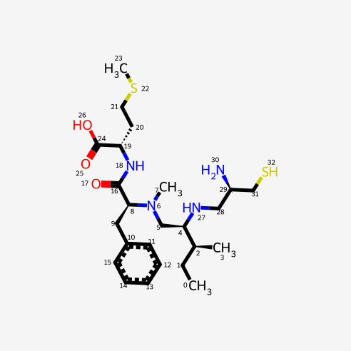 CC[C@H](C)[C@@H](CN(C)[C@@H](Cc1ccccc1)C(=O)N[C@@H](CCSC)C(=O)O)NC[C@@H](N)CS